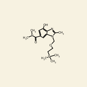 Cc1nc2c(O)cc(C(=O)N(C)C)cc2n1COCC[Si](C)(C)C